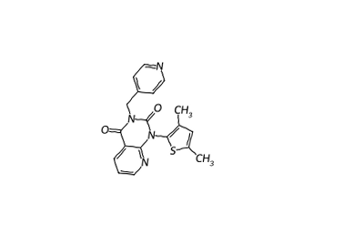 Cc1cc(C)c(-n2c(=O)n(Cc3ccncc3)c(=O)c3cccnc32)s1